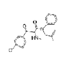 C=C(C)CN(C(=O)C(NC)C(=O)c1ccc(Cl)cc1)c1ccccc1